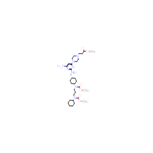 COC(=O)CCN1CCN(c2cc(N)nc(NC[C@H]3CC[C@@H](N(CCCN(C(=O)OC(C)(C)C)C4CCCCC4)C(=O)OC(C)(C)C)CC3)n2)CC1